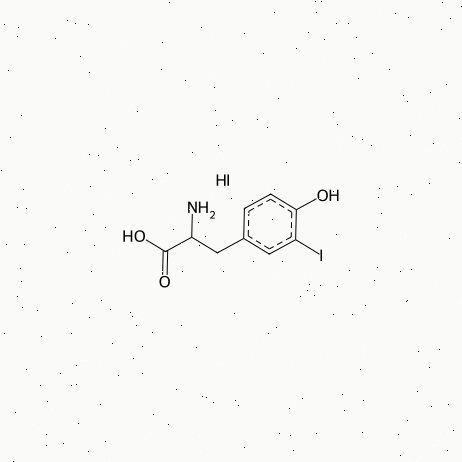 I.NC(Cc1ccc(O)c(I)c1)C(=O)O